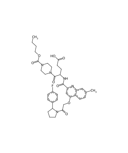 CCCCOC(=O)N1CCN(C(=O)C(CCC(=O)O)NC(=O)c2cc(OCC(=O)N3CCCC3c3ccc(F)cc3)c3ccc(C)cc3n2)CC1